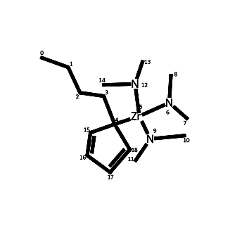 CCCC[C]1([Zr]([N](C)C)([N](C)C)[N](C)C)C=CC=C1